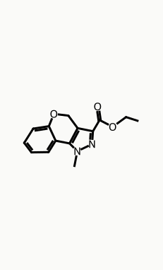 CCOC(=O)c1nn(C)c2c1COc1ccccc1-2